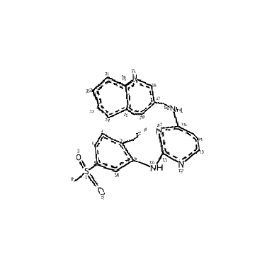 CS(=O)(=O)c1ccc(F)c(Nc2nccc(Nc3cnc4ccccc4c3)n2)c1